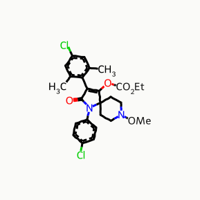 CCOC(=O)OC1=C(c2c(C)cc(Cl)cc2C)C(=O)N(c2ccc(Cl)cc2)C12CCN(OC)CC2